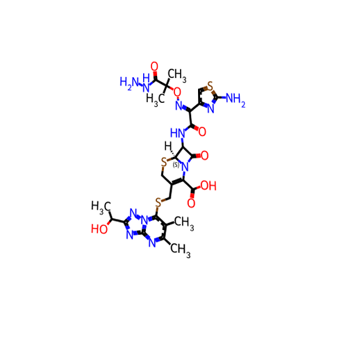 Cc1nc2nc(C(C)O)nn2c(SCC2=C(C(=O)O)N3C(=O)C(NC(=O)C(=NOC(C)(C)C(=O)NN)c4csc(N)n4)[C@@H]3SC2)c1C